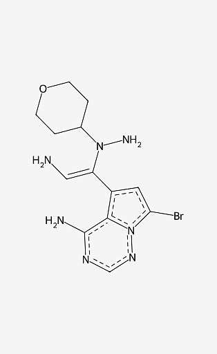 N/C=C(/c1cc(Br)n2ncnc(N)c12)N(N)C1CCOCC1